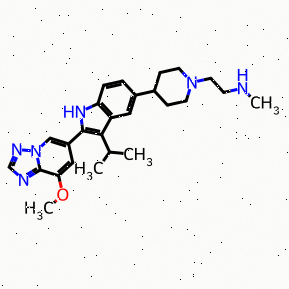 CNCCN1CCC(c2ccc3[nH]c(-c4cc(OC)c5ncnn5c4)c(C(C)C)c3c2)CC1